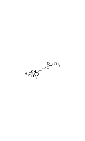 CCCC(=O)OCCCCCc1cccc(C(C)(C)C)c1